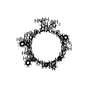 CCCCC[C@H]1C(=O)N(C)[C@@H](CCCC)C(=O)N[C@@H](CCCNC(=N)N)C(=O)N[C@H](C(=O)NCC(N)=O)CSCC(=O)N[C@@H](Cc2ccccc2)C(=O)N(C)[C@@H](C)C(=O)N[C@@H](CO)C(=O)N2CCC[C@H]2C(=O)N[C@@H](Cc2cnc[nH]2)C(=O)N[C@@H](CC(C)C)C(=O)N(C)CC(=O)N[C@@H](Cc2c[nH]c3ccccc23)C(=O)N[C@@H](CO)C(=O)N[C@@H](Cc2c[nH]c3ccccc23)C(=O)N1C